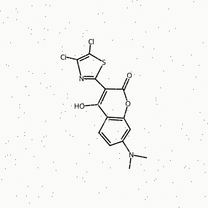 CN(C)c1ccc2c(O)c(-c3nc(Cl)c(Cl)s3)c(=O)oc2c1